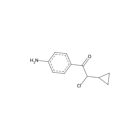 Nc1ccc(C(=O)C(Cl)C2CC2)cc1